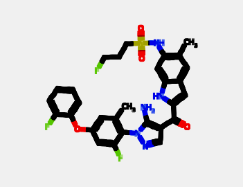 Cc1cc2cc(C(=O)c3cnn(-c4c(C)cc(Oc5ccccc5F)cc4F)c3N)[nH]c2cc1NS(=O)(=O)CCCF